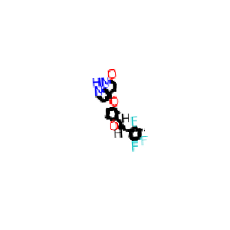 O=C1CCc2c(Oc3ccc4c(c3)[C@H]3[C@H](O4)[C@@H]3c3cc(F)c(F)[c]c3F)ccnc2N1